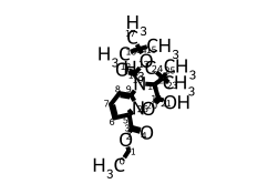 CCOC(=O)c1cccc(N(C(=O)OC(C)(C)C)C(C(=O)O)C(C)(C)C)n1